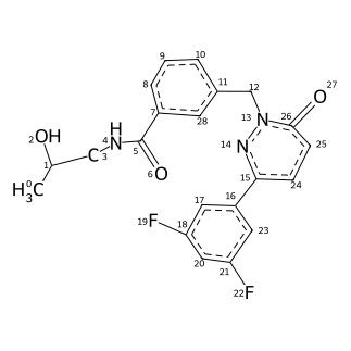 CC(O)CNC(=O)c1cccc(Cn2nc(-c3cc(F)cc(F)c3)ccc2=O)c1